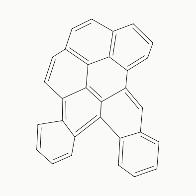 c1ccc2c(c1)cc1c3cccc4ccc5ccc6c7ccccc7c2c1c6c5c43